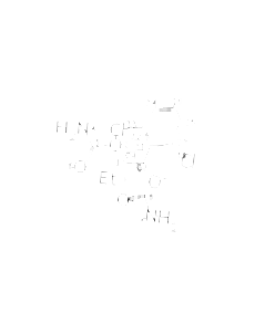 CC[C@H](OC(N)=O)[C@@H](OC(N)=O)c1c(Cl)cccc1Cl